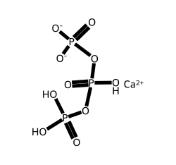 O=P([O-])([O-])OP(=O)(O)OP(=O)(O)O.[Ca+2]